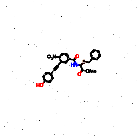 COC(=O)C(NC(=O)c1ccc([N+](=O)[O-])c(C#Cc2ccc(O)cc2)c1)SCc1ccccc1